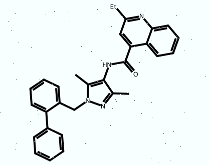 CCc1cc(C(=O)Nc2c(C)nn(Cc3ccccc3-c3ccccc3)c2C)c2ccccc2n1